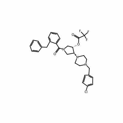 O=C(c1ccccc1Cc1ccccc1)N1C[C@H](OC(=O)C(F)(F)F)[C@@H](N2CCN(Cc3ccc(Cl)cc3)CC2)C1